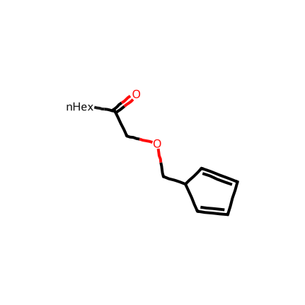 CCCCCCC(=O)COCC1C=CC=C1